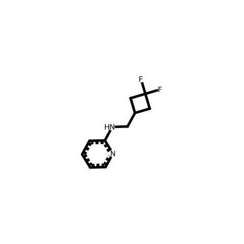 FC1(F)CC(CNc2ccccn2)C1